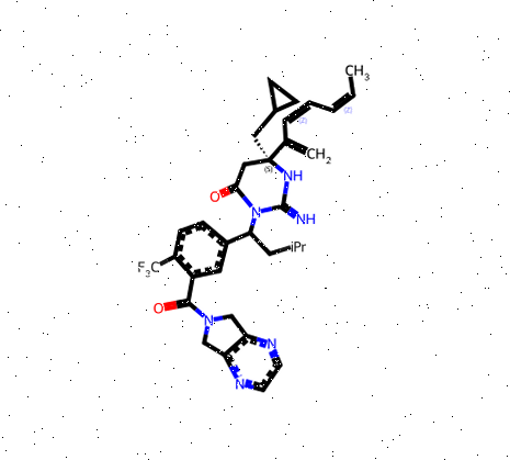 C=C(/C=C\C=C/C)[C@]1(CC2CC2)CC(=O)N(C(CC(C)C)c2ccc(C(F)(F)F)c(C(=O)N3Cc4nccnc4C3)c2)C(=N)N1